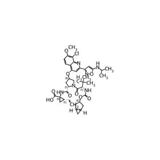 C=C[C@@H]1C[C@]1(NC(=O)[C@@H]1C[C@@H](Oc2cc(-c3cc(NC(C)C)on3)nc3c(Cl)c(OC)ccc23)CN1C(=O)[C@@H](NC(=O)O[C@@H]1C[C@@H]2C[C@@H]2C1)C(C)(C)C)C(=O)O